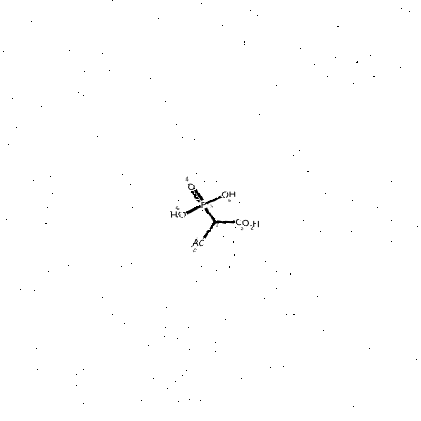 CC(=O)C(C(=O)O)P(=O)(O)O